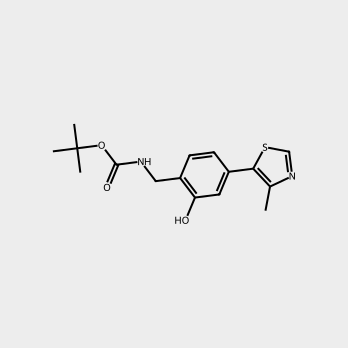 Cc1ncsc1-c1ccc(CNC(=O)OC(C)(C)C)c(O)c1